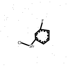 Fc1ccc[c]([Sn][Cl])c1